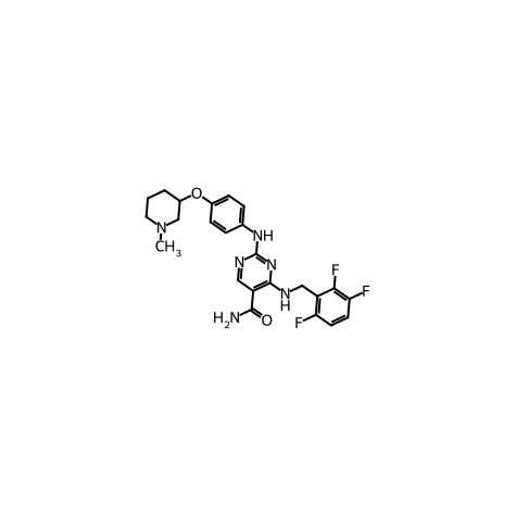 CN1CCCC(Oc2ccc(Nc3ncc(C(N)=O)c(NCc4c(F)ccc(F)c4F)n3)cc2)C1